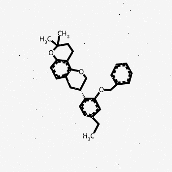 CCc1ccc([C@H]2COc3c(ccc4c3CCC(C)(C)O4)C2)c(OCc2ccccc2)c1